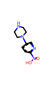 O=[N+](O)c1ccc(N2CCNCC2)cn1